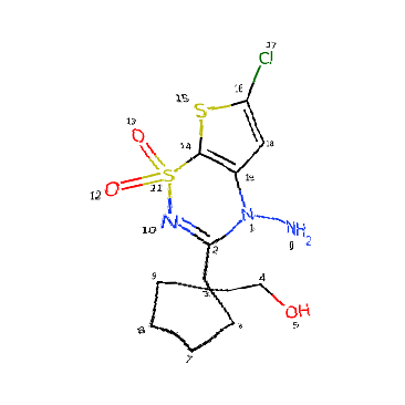 NN1C(C2(CO)CCCC2)=NS(=O)(=O)c2sc(Cl)cc21